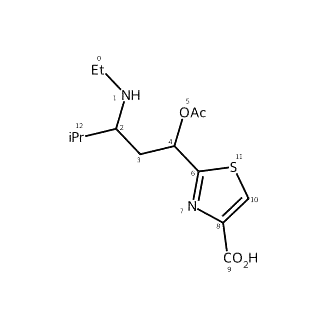 CCNC(CC(OC(C)=O)c1nc(C(=O)O)cs1)C(C)C